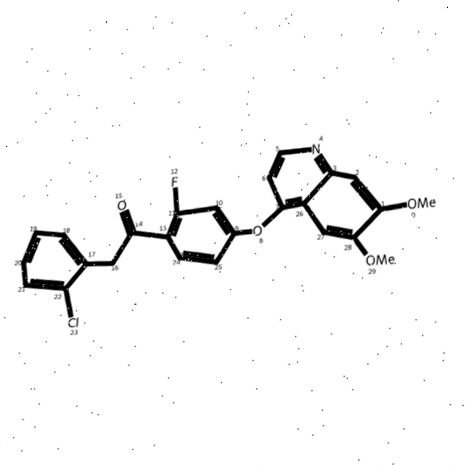 COc1cc2nccc(Oc3[c]c(F)c(C(=O)Cc4ccccc4Cl)cc3)c2cc1OC